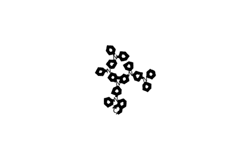 c1ccc(N(c2ccccc2)c2ccc(N(c3ccccc3)c3ccc4c(c3)c3cc(N(c5ccccc5)c5ccc(N(c6ccccc6)c6ccccc6)cc5)ccc3n4-c3ccc(N(c4ccccc4)c4cccc5ccccc45)cc3)cc2)cc1